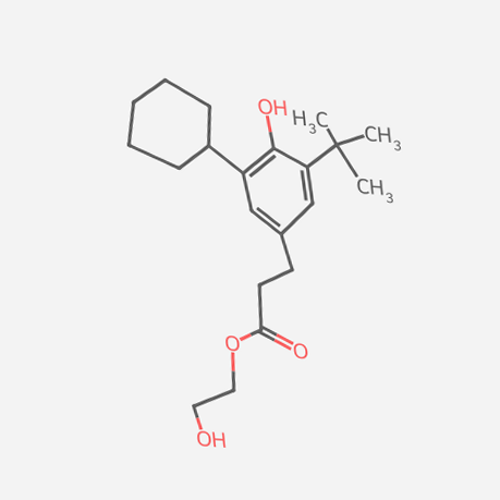 CC(C)(C)c1cc(CCC(=O)OCCO)cc(C2CCCCC2)c1O